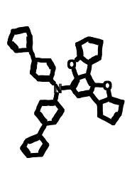 c1ccc(-c2ccc(N(c3ccc(-c4ccccc4)cc3)c3cc4c5ccccc5oc4c4c3oc3ccccc34)cc2)cc1